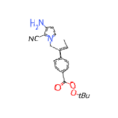 CC=C(Cn1ccc(N)c1C#N)c1ccc(C(=O)OOC(C)(C)C)cc1